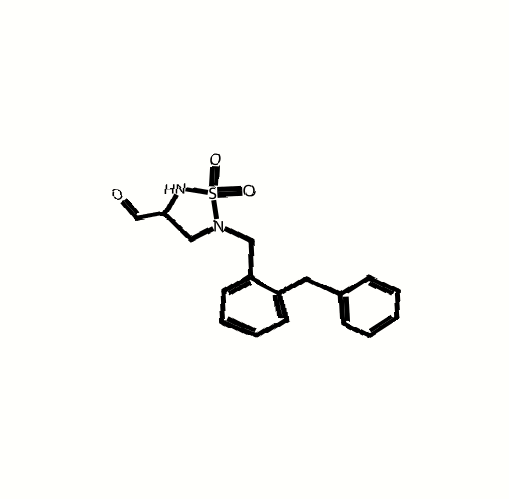 O=CC1CN(Cc2ccccc2Cc2ccccc2)S(=O)(=O)N1